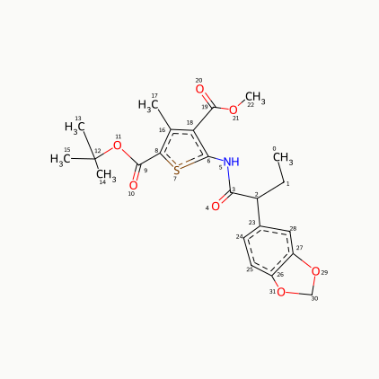 CCC(C(=O)Nc1sc(C(=O)OC(C)(C)C)c(C)c1C(=O)OC)c1ccc2c(c1)OCO2